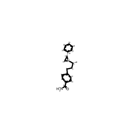 C[C@H](CCc1ccc(C(N)=O)cc1)N1C[C@@H]1c1ccccc1